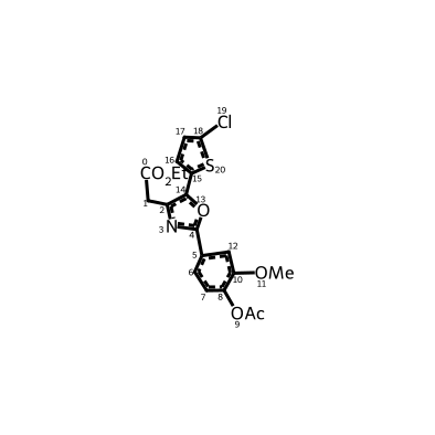 CCOC(=O)Cc1nc(-c2ccc(OC(C)=O)c(OC)c2)oc1-c1ccc(Cl)s1